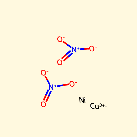 O=[N+]([O-])[O-].O=[N+]([O-])[O-].[Cu+2].[Ni]